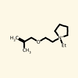 C=C(C)COCC[N+]1(CC)CCCC1